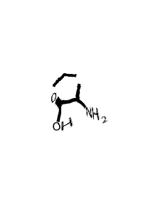 CC(N)C(=O)O.CCC